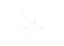 CCN(c1cc(-c2ccc(CN3CCOCC3)cc2)cc(C(=O)NCC(C=O)C(C)CC(C)C)c1C)[C@H]1CC[C@H](N)CC1